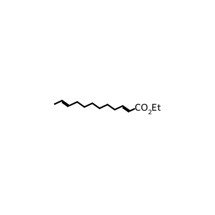 CC=CCCCCCCC=CC(=O)OCC